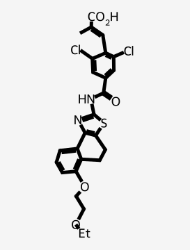 CCOCCOc1cccc2c1CCc1sc(NC(=O)c3cc(Cl)c(/C=C(\C)C(=O)O)c(Cl)c3)nc1-2